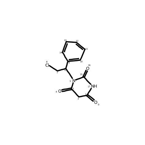 O=C1CC(=O)N(C(CCl)c2ccccc2)C(=O)N1